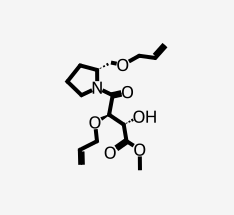 C=CCOC[C@H]1CCCN1C(=O)[C@H](OCC=C)[C@H](O)C(=O)OC